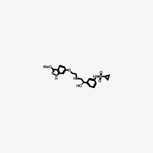 COc1n[nH]c2cc(OCCNC[C@H](O)c3cccc(NS(=O)(=O)C4CC4)c3)ccc12